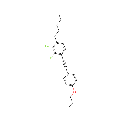 CCCCCc1ccc(C#Cc2ccc(OCCC)cc2)c(F)c1F